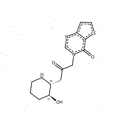 O=C(C[C@H]1NCCC[C@@H]1O)Cn1cnc2ccsc2c1=O